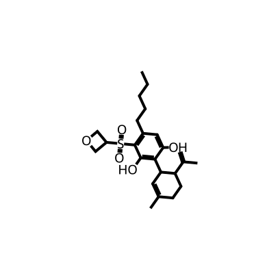 C=C(C)C1CCC(C)=CC1c1c(O)cc(CCCCC)c(S(=O)(=O)C2COC2)c1O